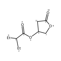 CCC(CC)C(=O)OC1COC(=O)C1